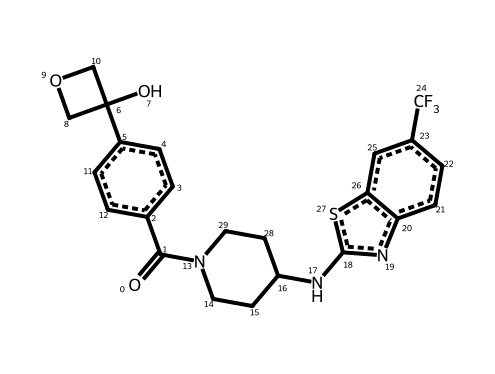 O=C(c1ccc(C2(O)COC2)cc1)N1CCC(Nc2nc3ccc(C(F)(F)F)cc3s2)CC1